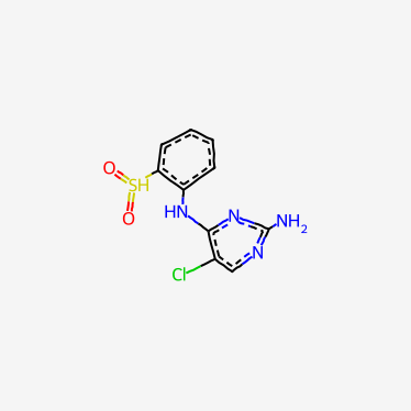 Nc1ncc(Cl)c(Nc2ccccc2[SH](=O)=O)n1